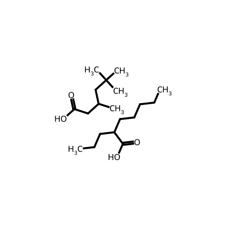 CC(CC(=O)O)CC(C)(C)C.CCCCCC(CCC)C(=O)O